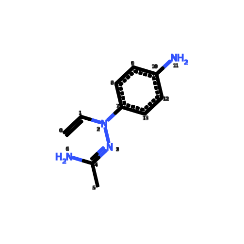 C=CN(/N=C(/C)N)c1ccc(N)cc1